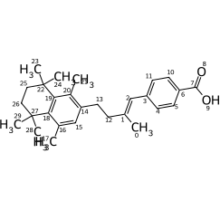 CC(=Cc1ccc(C(=O)O)cc1)CCc1cc(C)c2c(c1C)C(C)(C)CCC2(C)C